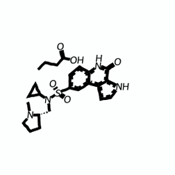 CCCC(=O)O.CN1CCC[C@H]1CN(C1CC1)S(=O)(=O)c1ccc2[nH]c(=O)c3[nH]ccc3c2c1